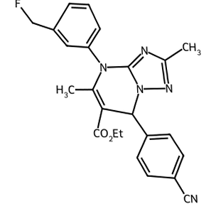 CCOC(=O)C1=C(C)N(c2cccc(CF)c2)c2nc(C)nn2C1c1ccc(C#N)cc1